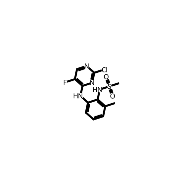 Cc1cccc(Nc2nc(Cl)ncc2F)c1NS(C)(=O)=O